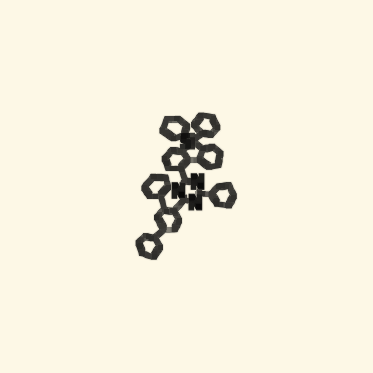 c1ccc(-c2ccc(-c3nc(-c4ccccc4)nc(-c4cccc5c4-c4ccccc4[Si]5(c4ccccc4)c4ccccc4)n3)c(-c3ccccc3)c2)cc1